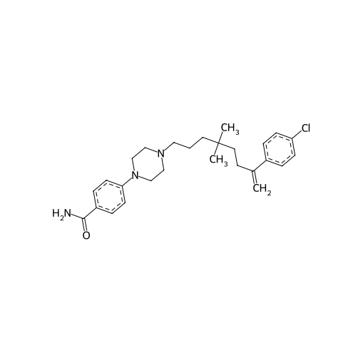 C=C(CCC(C)(C)CCCN1CCN(c2ccc(C(N)=O)cc2)CC1)c1ccc(Cl)cc1